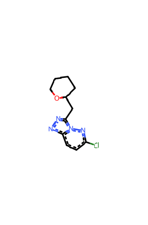 Clc1ccc2nnc(CC3CCCCO3)n2n1